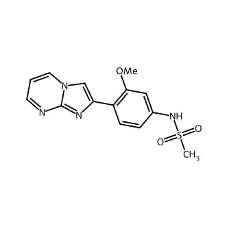 COc1cc(NS(C)(=O)=O)ccc1-c1cn2cccnc2n1